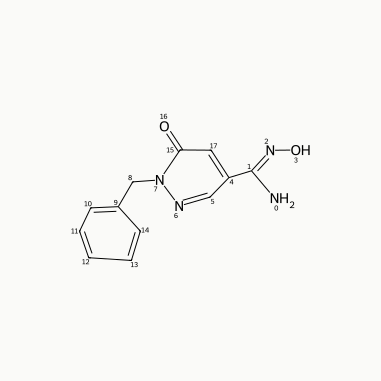 N/C(=N\O)c1cnn(Cc2ccccc2)c(=O)c1